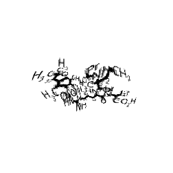 C=CCC(C)(NC(=O)C(C)C)C(=O)NC(CCCNC(=N)NS(=O)(=O)c1c(C)c(C)c2c(c1C)CC(C)(C)O2)C(=O)NC(CC)C(=O)O